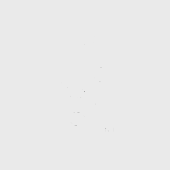 O=C(O)C1Cc2c(cccc2OCc2ccccc2)CN1C(=O)C(OC1CC(NO)C1)c1ccccc1